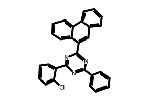 Clc1ccccc1-c1nc(-c2ccccc2)nc(-c2cc3ccccc3c3ccccc23)n1